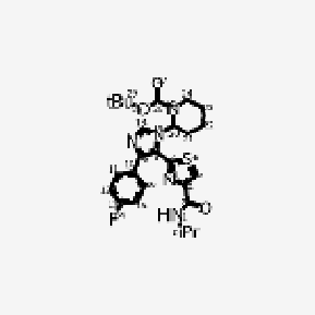 CC(C)NC(=O)c1csc(-c2c(-c3ccc(F)cc3)ncn2C2CCCCN2C(=O)OC(C)(C)C)n1